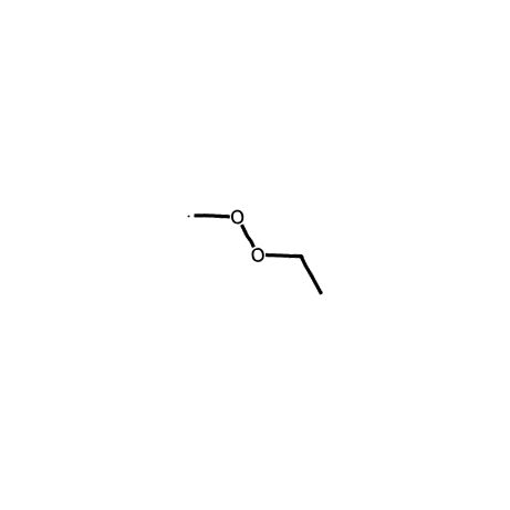 [CH2]OOCC